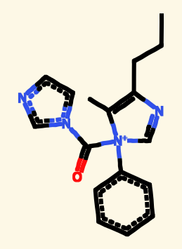 CCCC1=C(C)[N+](C(=O)n2ccnc2)(c2ccccc2)C=N1